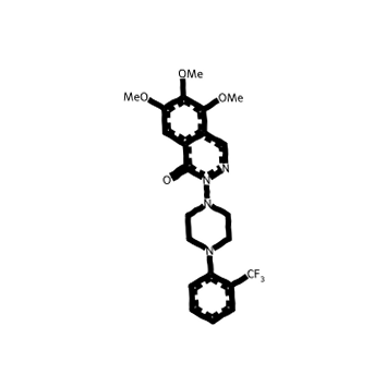 COc1cc2c(=O)n(N3CCN(c4ccccc4C(F)(F)F)CC3)ncc2c(OC)c1OC